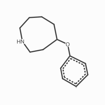 [c]1ccc(OC2CCCCNCC2)cc1